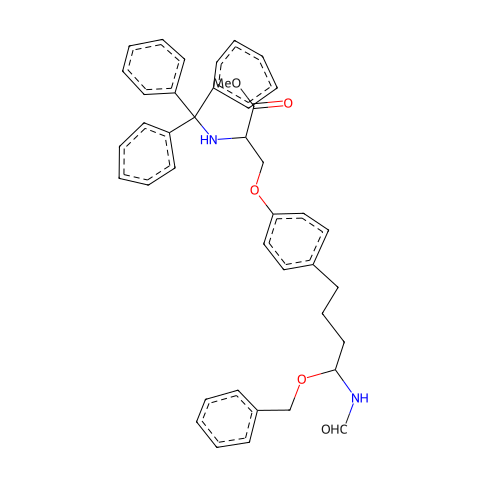 COC(=O)C(COc1ccc(CCCC(NC=O)OCc2ccccc2)cc1)NC(c1ccccc1)(c1ccccc1)c1ccccc1